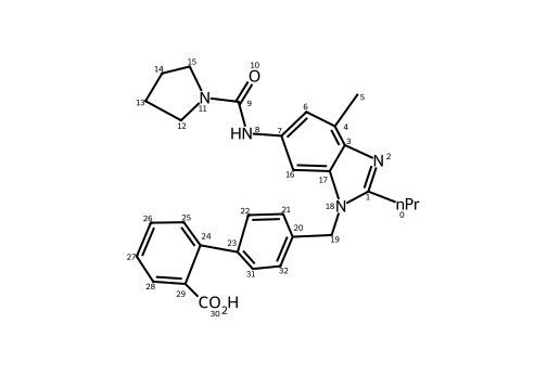 CCCc1nc2c(C)cc(NC(=O)N3CCCC3)cc2n1Cc1ccc(-c2ccccc2C(=O)O)cc1